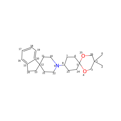 CC1(C)COC2(CCC(N3CCC4(CCc5ccccc54)CC3)CC2)OC1